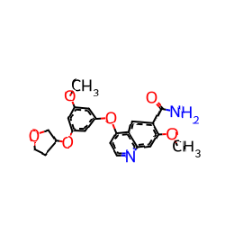 COc1cc(Oc2ccnc3cc(OC)c(C(N)=O)cc23)cc(OC2CCOC2)c1